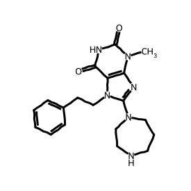 Cn1c(=O)[nH]c(=O)c2c1nc(N1CCCNCC1)n2CCc1ccccc1